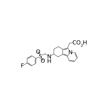 O=C(O)Cc1c2c(c3ccccn13)CC(NCS(=O)(=O)c1ccc(F)cc1)CC2